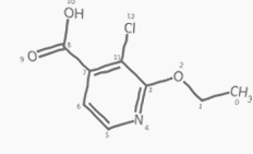 CCOc1nccc(C(=O)O)c1Cl